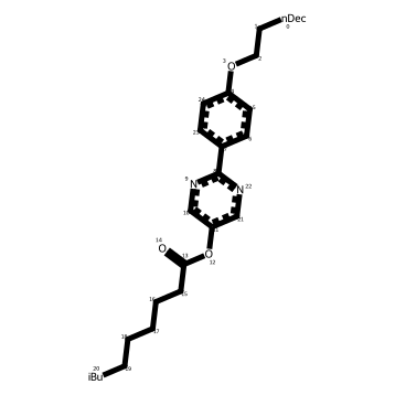 CCCCCCCCCCCCOc1ccc(-c2ncc(OC(=O)CCCCCC(C)CC)cn2)cc1